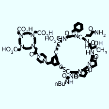 CCCCNC(=O)N[C@H]1CSCc2cc(cc(CN3CCN(C(=O)CN4CCN(CC(=O)O)CCN(CC(=O)O)CCN(CC(=O)O)CC4)CC3)c2)CSC[C@@H](C(=O)O)NC(=O)[C@H](Cc2ccccc2)NC[C@H](CCC(N)=O)NC(=O)[C@H]([C@@H](C)O)NC(=O)[C@@H]2CCCN2C(=O)[C@@H]2CCCN2C1=O